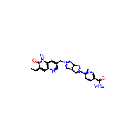 CCc1cc2ncc(CN3CC4CN(c5ccc(C(=O)NC)cn5)CC4C3)cc2[nH]c1=O